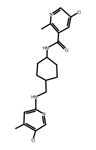 Cc1cc(NCC2CCC(NC(=O)c3cc(Cl)cnc3C)CC2)ncc1Cl